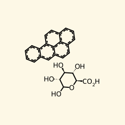 O=C(O)[C@H]1OC(O)[C@H](O)[C@@H](O)[C@@H]1O.c1ccc2c(c1)cc1ccc3cccc4ccc2c1c34